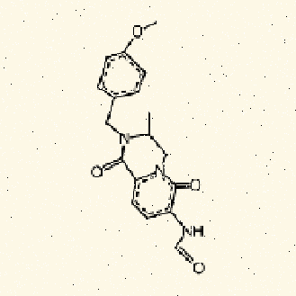 COc1ccc(CN2C(=O)c3ccc(NC=O)c(=O)n3CC2C)cc1